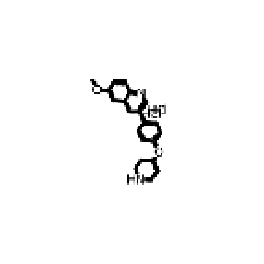 COc1ccc2ncc(-c3ccc(OC4CCNCC4)cc3)cc2c1.Cl.Cl